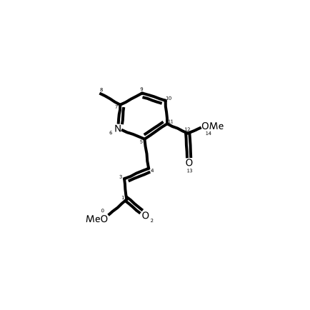 COC(=O)C=Cc1nc(C)ccc1C(=O)OC